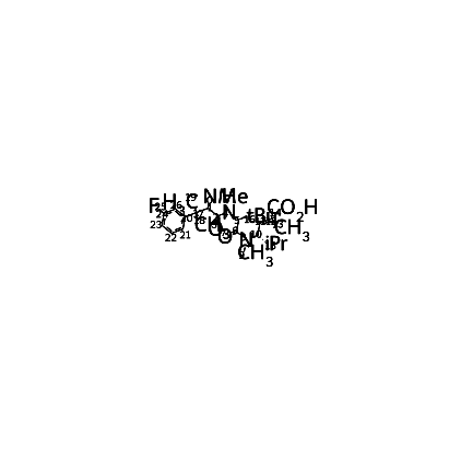 CN[C@@H](C(=O)N[C@H](C(=O)N(C)[C@H](/C=C(\C)C(=O)O)C(C)C)C(C)(C)C)C(C)(C)c1cccc(F)c1